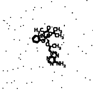 CC(C)OC(=O)[C@@H](C)N[P@@](=O)(CO[C@H](C)Cn1cnc2c(N)ncnc21)Oc1ccccc1